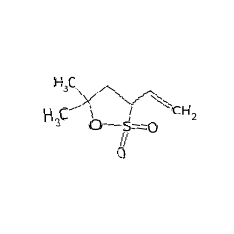 C=CC1CC(C)(C)OS1(=O)=O